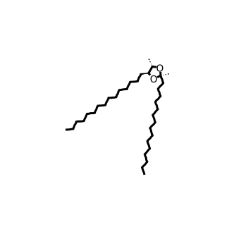 CCCCCCCCCCCCCCC[C@@H]1O[C@](C)(CCCCCCCCCCCCCCC)O[C@H]1C